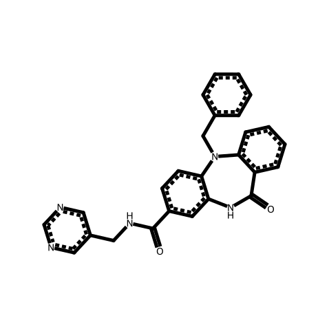 O=C(NCc1cncnc1)c1ccc2c(c1)NC(=O)c1ccccc1N2Cc1ccccc1